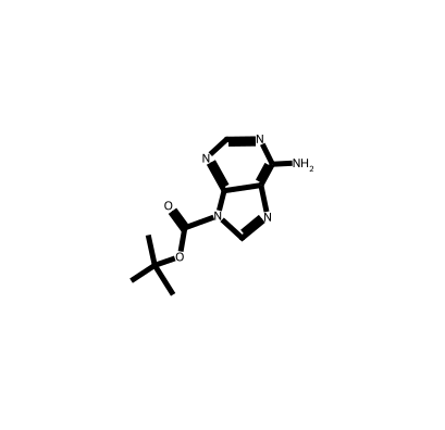 CC(C)(C)OC(=O)n1cnc2c(N)ncnc21